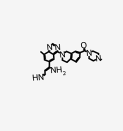 Cc1cc(/C(N)=C/C=N)cc2c(N3CCc4ccc(C(=O)N5CCN(C)CC5)cc4C3)ncnc12